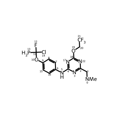 CNCc1nc(Nc2ccc(OC(F)(P)Cl)cc2)nc(OCC(F)(F)F)n1